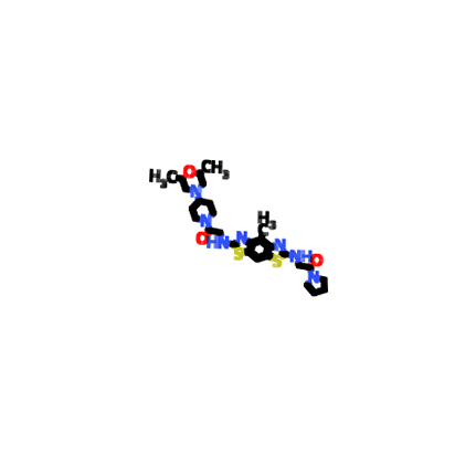 Cc1c2nc(NCC(=O)N3CCCC3)sc2cc2sc(NCC(=O)N3CCC(N4CC(C)OC(C)C4)CC3)nc12